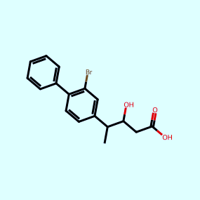 CC(c1ccc(-c2ccccc2)c(Br)c1)C(O)CC(=O)O